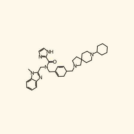 Cn1c(CN(CC2=CCC(CN3CCC4(CCN(C5CCCCC5)CC4)C3)C=C2)C(=O)c2ncc[nH]2)nc2ccccc21